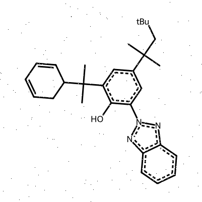 CC(C)(C)CC(C)(C)c1cc(-n2nc3ccccc3n2)c(O)c(C(C)(C)C2C=CC=CC2)c1